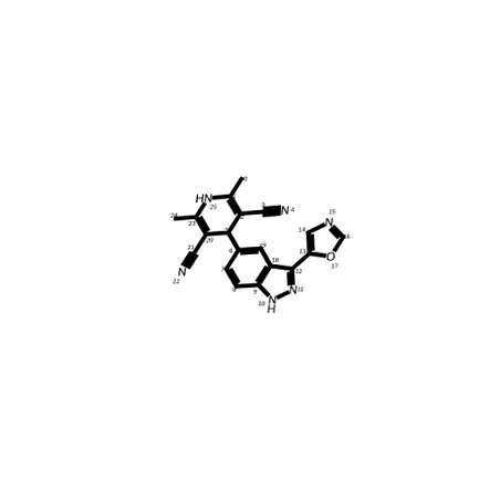 CC1=C(C#N)C(c2ccc3[nH]nc(-c4cnco4)c3c2)C(C#N)=C(C)N1